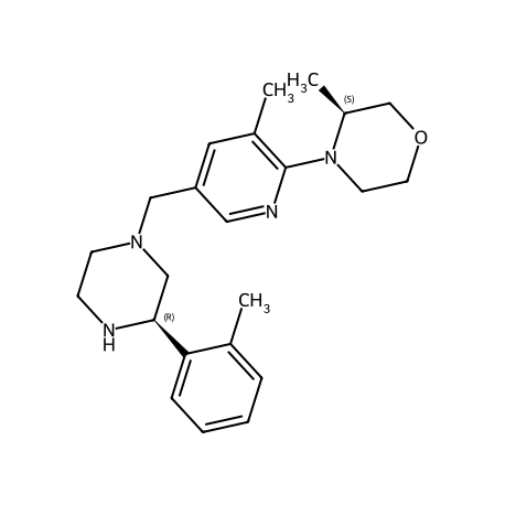 Cc1ccccc1[C@@H]1CN(Cc2cnc(N3CCOC[C@@H]3C)c(C)c2)CCN1